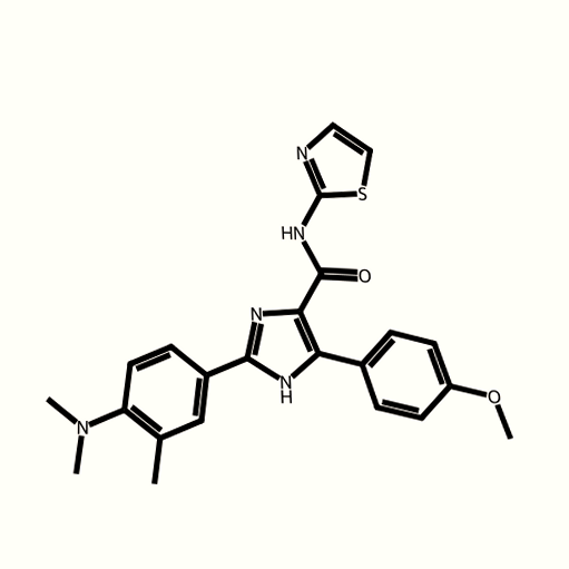 COc1ccc(-c2[nH]c(-c3ccc(N(C)C)c(C)c3)nc2C(=O)Nc2nccs2)cc1